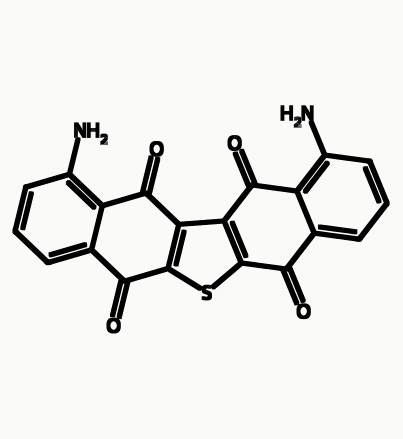 Nc1cccc2c(=O)c3sc4c(=O)c5cccc(N)c5c(=O)c4c3c(=O)c12